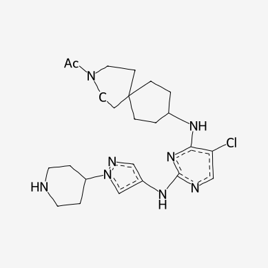 CC(=O)N1CCC2(CCC(Nc3nc(Nc4cnn(C5CCNCC5)c4)ncc3Cl)CC2)CC1